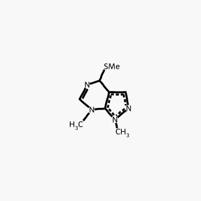 CSC1N=CN(C)c2c1cnn2C